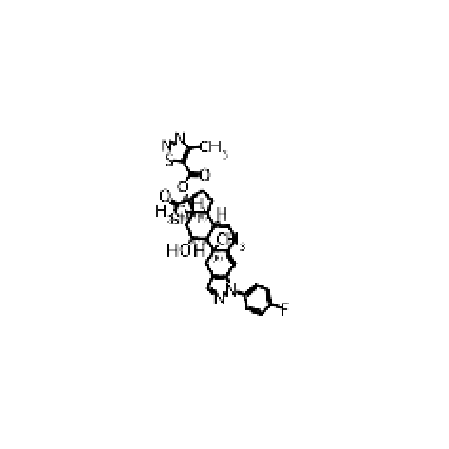 Cc1nnsc1C(=O)O[C@]1(C(=O)S)CC[C@H]2[C@@H]3CCC4=Cc5c(cnn5-c5ccc(F)cc5)C[C@]4(C)[C@H]3[C@@H](O)C[C@@]21C